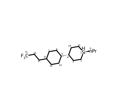 CCC[Si@H]1CC[C@H](C2CCC(CCC(F)(F)F)CC2)CC1